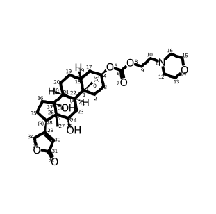 C[C@]12CC[C@H](OC(=O)OCCN3CCOCC3)C[C@H]1CC[C@@H]1[C@@H]2C[C@@H](O)[C@]2(C)[C@@H](C3=CC(=O)OC3)CC[C@]12O